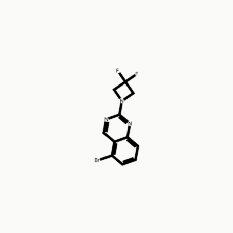 FC1(F)CN(c2ncc3c(Br)cccc3n2)C1